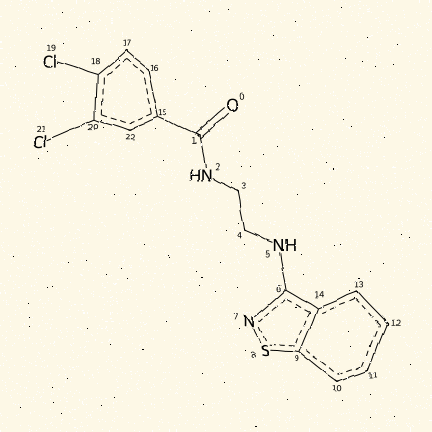 O=C(NCCNc1nsc2ccccc12)c1ccc(Cl)c(Cl)c1